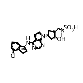 O=S(=O)(O)NC[C@@H]1C[C@@H](n2ccc3c(N[C@@H]4CCc5c(Cl)cccc54)ncnc32)C[C@@H]1O